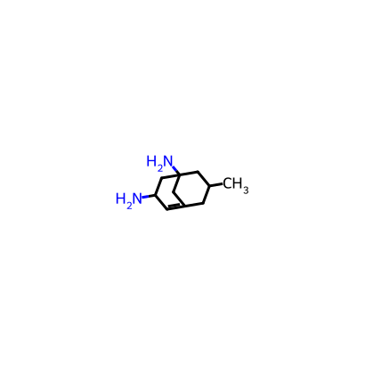 CC1CC2=CC(N)CC(N)(C2)C1